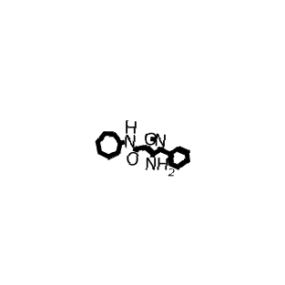 Nc1c(-c2ccccc2)noc1C(=O)NC1CCCCCC1